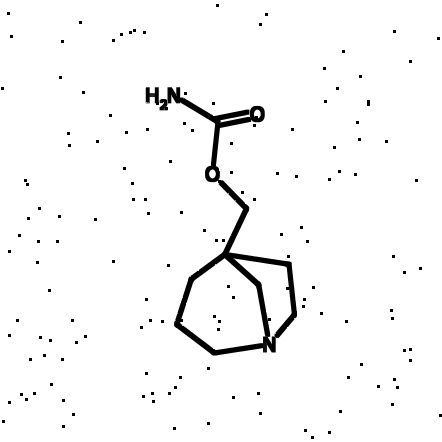 NC(=O)OCC12CCCN(CC1)C2